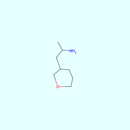 CC(N)CC1CCCOC1